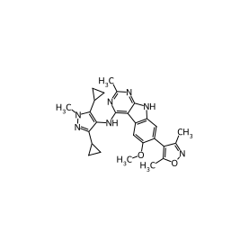 COc1cc2c(cc1-c1c(C)noc1C)[nH]c1nc(C)nc(Nc3c(C4CC4)nn(C)c3C3CC3)c12